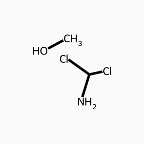 CO.NC(Cl)Cl